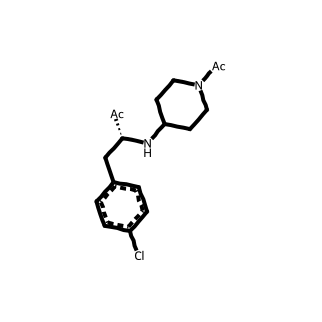 CC(=O)[C@@H](Cc1ccc(Cl)cc1)NC1CCN(C(C)=O)CC1